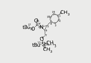 Cc1ccc(C2C(CO[Si](C)(C)C(C)(C)C)N2C(=O)OC(C)(C)C)cc1